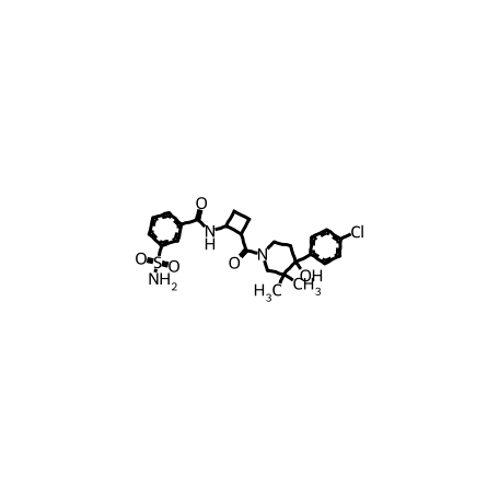 CC1(C)CN(C(=O)C2CCC2NC(=O)c2cccc(S(N)(=O)=O)c2)CCC1(O)c1ccc(Cl)cc1